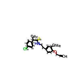 C#CCOc1ccc(CCNC(=S)C(OC(C)=O)c2ccc(Cl)cc2)cc1OC